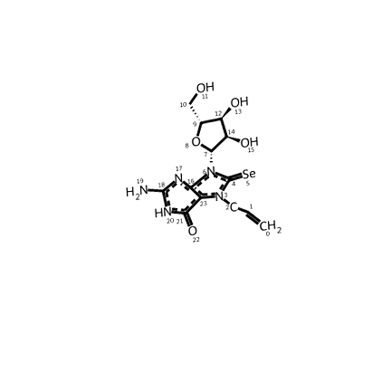 C=CCn1c(=[Se])n([C@@H]2O[C@H](CO)[C@@H](O)[C@H]2O)c2nc(N)[nH]c(=O)c21